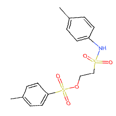 Cc1ccc(NS(=O)(=O)CCOS(=O)(=O)c2ccc(C)cc2)cc1